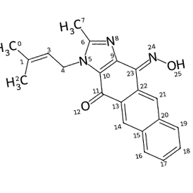 CC(C)=CCn1c(C)nc2c1C(=O)c1cc3ccccc3cc1/C2=N\O